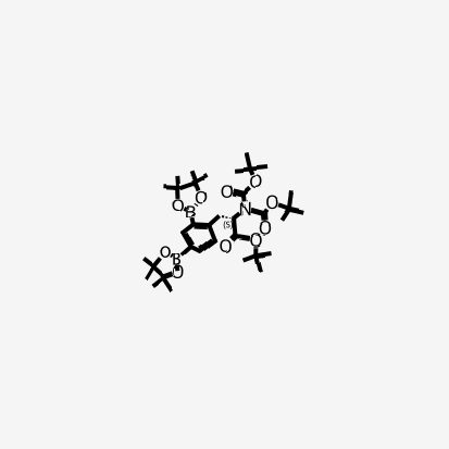 CC(C)(C)OC(=O)[C@H](Cc1ccc(B2OC(C)(C)C(C)(C)O2)cc1B1OC(C)(C)C(C)(C)O1)N(C(=O)OC(C)(C)C)C(=O)OC(C)(C)C